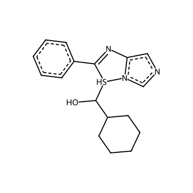 OC(C1CCCCC1)[SH]1C(c2ccccc2)=Nc2cncn21